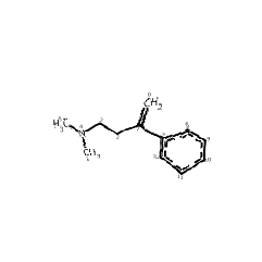 C=C(CCN(C)C)c1ccccc1